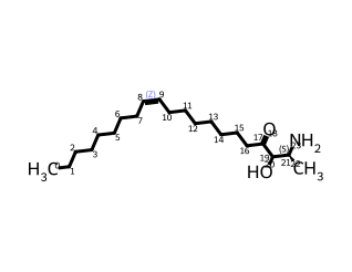 CCCCCCCC/C=C\CCCCCCCC(=O)C(O)[C@H](C)N